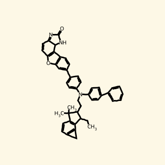 CCC1c2c(ccc3c2C3)C(C)(C)C1CCN(c1ccc(-c2ccccc2)cc1)c1ccc(-c2ccc3c4c(oc3c2)C=CC2=NC(=O)NC24)cc1